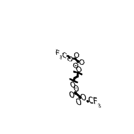 CC(C)(CCC(C)(C)OOC(=O)C(=O)OCC(F)(F)F)OOC(=O)C(=O)OCC(F)(F)F